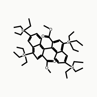 CC[Si](CC)(CC)c1ccc2c(-c3c(C(=O)OC)cc([Si](CC)(CC)CC)c4cc([Si](CC)(CC)CC)ccc34)c(C(=O)OC)cc([Si](CC)(CC)CC)c2c1